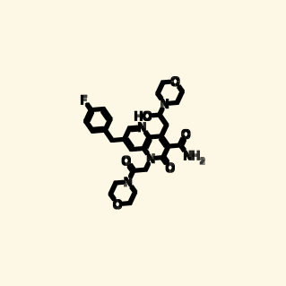 NC(=O)c1c(CC(O)N2CCOCC2)c2ncc(Cc3ccc(F)cc3)cc2n(CC(=O)N2CCOCC2)c1=O